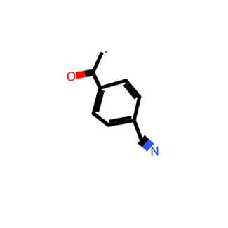 [CH2]C(=O)c1ccc(C#N)cc1